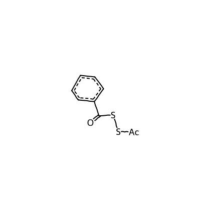 CC(=O)SSC(=O)c1ccccc1